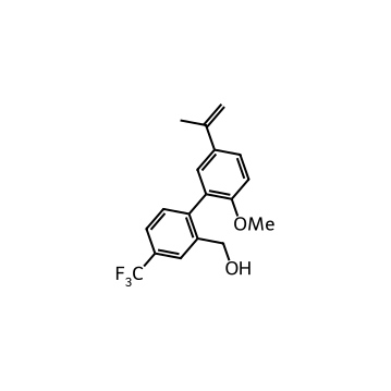 C=C(C)c1ccc(OC)c(-c2ccc(C(F)(F)F)cc2CO)c1